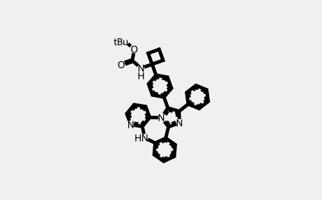 CC(C)(C)OC(=O)NC1(c2ccc(-c3c(-c4ccccc4)nc4n3-c3cccnc3Nc3ccccc3-4)cc2)CCC1